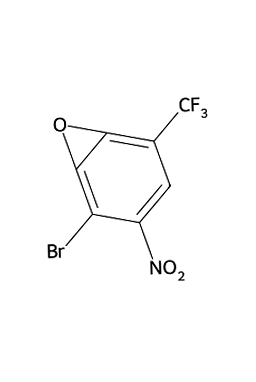 O=[N+]([O-])c1cc(C(F)(F)F)c2c(c1Br)O2